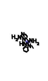 CCN1/C(=C(\N)c2ccnc(N)n2)Nc2ccccc21